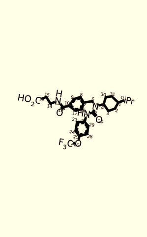 CC(C)C1CCC(N(Cc2ccc(C(=O)NCCC(=O)O)cc2)C(=O)Nc2ccc(OC(F)(F)F)cc2)CC1